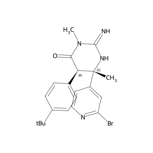 CN1C(=N)N[C@](C)(c2ccnc(Br)c2)[C@@H](c2ccc(C(C)(C)C)cc2)C1=O